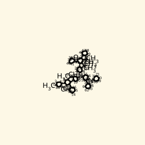 Cc1ccc(-c2cc3c(c4c2oc2ccccc24)-c2ccc(N(c4ccc5c(c4)C(C)(C)c4c6c(c7oc8ccccc8c7c4-5)-c4ccccc4C6(C)C)c4ccc5c(c4)c4ccccc4n5-c4ccccc4)cc2C3(C)C)c(C)c1